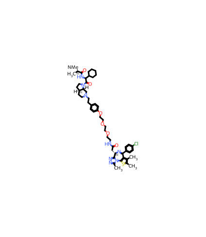 CN[C@@H](C)C(=O)NC(C(=O)N1CC[C@@H]2CCN(CCc3ccc(OCCOCCOCCNC(=O)C[C@@H]4N=C(c5ccc(Cl)cc5)c5c(sc(C)c5C)-n5c(C)nnc54)cc3)C[C@@H]21)C1CCCCC1